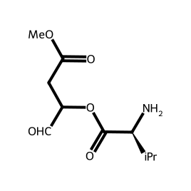 COC(=O)CC(C=O)OC(=O)[C@@H](N)C(C)C